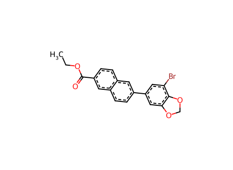 CCOC(=O)c1ccc2cc(-c3cc(Br)c4c(c3)OCO4)ccc2c1